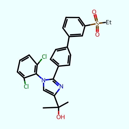 CCS(=O)(=O)c1cccc(-c2ccc(-c3nc(C(C)(C)O)cn3-c3c(Cl)cccc3Cl)cc2)c1